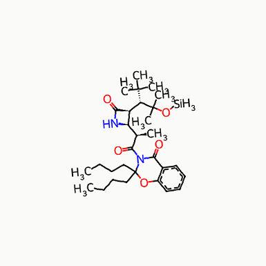 CCCCC1(CCCC)Oc2ccccc2C(=O)N1C(=O)[C@H](C)[C@H]1NC(=O)[C@H]1[C@H](C(C)(C)C)C(C)(C)O[SiH3]